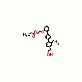 C=CC(=O)OCCOc1ccccc1-c1ccc(-c2ccc(CCO)cc2C)cc1